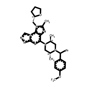 Cc1nc2c(N3C[C@@H](C)N(C(c4ccc(OC(F)(F)F)cc4)C(C)C)C[C@@H]3C)nc3nncn3c2n1C[C@@H]1CCCO1